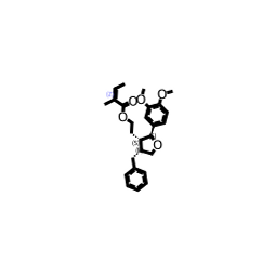 C/C=C(/C)C(=O)OCC[C@H]1[C@@H](Cc2ccccc2)CO[C@@H]1c1ccc(OC)c(OC)c1